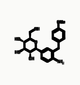 COc1ccc(Cc2cc([C@@H]3O[C@H](CO)[C@@H](O)[C@H](O)[C@H]3O)ccc2N)cc1